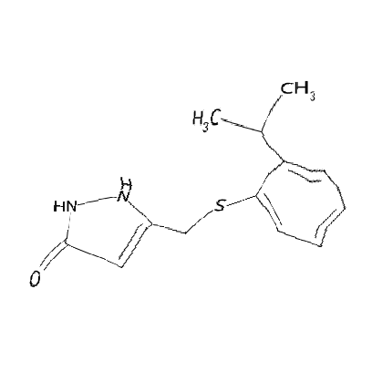 CC(C)c1ccccc1SCc1cc(=O)[nH][nH]1